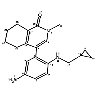 Cn1cc(-c2cc([SiH3])ccc2NCC2CC2)c2c(c1=O)CCCC2